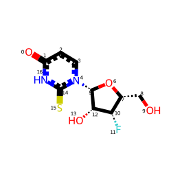 O=c1ccn([C@@H]2O[C@H](CO)[C@H](F)[C@@H]2O)c(=S)[nH]1